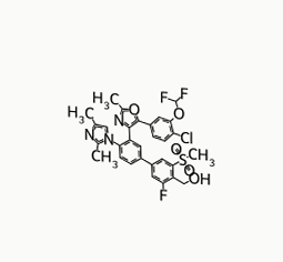 Cc1cn(-c2ccc(-c3cc(F)c(CO)c(S(C)(=O)=O)c3)cc2-c2nc(C)oc2-c2ccc(Cl)c(OC(F)F)c2)c(C)n1